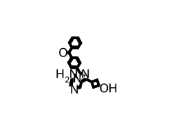 N[N+]12C=CN=CC1=C(C1CC(O)C1)N=C2c1ccc(C(=O)c2ccccc2)cc1